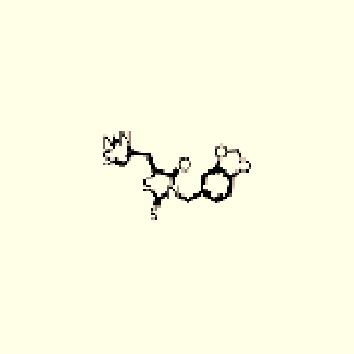 O=C1/C(=C/c2csnn2)SC(=S)N1Cc1ccc2c(c1)OCO2